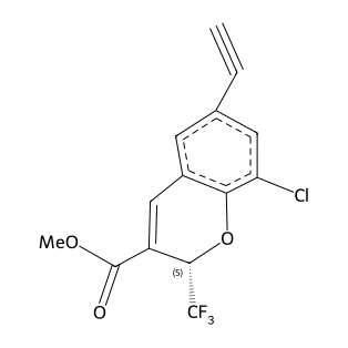 C#Cc1cc(Cl)c2c(c1)C=C(C(=O)OC)[C@@H](C(F)(F)F)O2